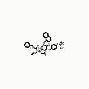 C=CCN(C(=O)NCc1ccccc1)N1CC(=O)N2[C@@H](Cc3ccc(O[PH](=O)O)cc3)C(=O)N(Cc3cccc4ccccc34)C[C@@H]21